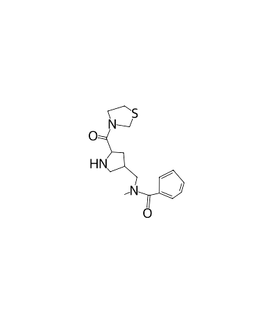 CN(CC1CNC(C(=O)N2CCSC2)C1)C(=O)c1ccccc1